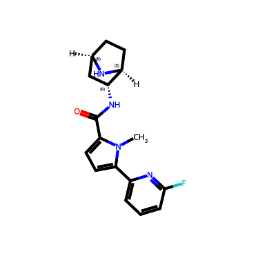 Cn1c(C(=O)N[C@@H]2C[C@H]3CC[C@@H]2N3)ccc1-c1cccc(F)n1